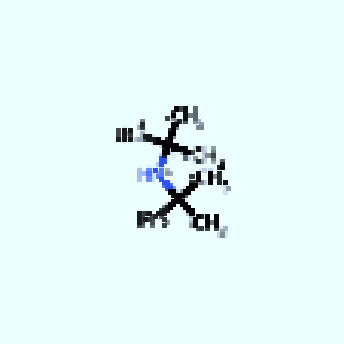 CC(C)C(C)(C)NC(C)(C)C(C)(C)C